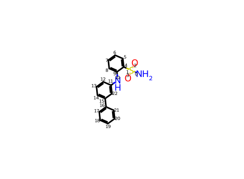 NS(=O)(=O)c1ccccc1Nc1cccc(-c2ccccc2)c1